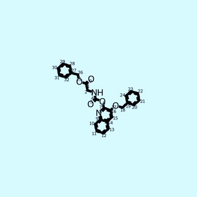 O=C(CNC(=O)Oc1nc2ccccc2cc1OCc1ccccc1)OCc1ccccc1